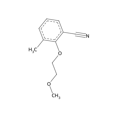 COCCOc1c(C)cccc1C#N